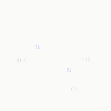 CN(C)CCN(C)C1CCC1